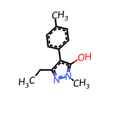 CCc1nn(C)c(O)c1-c1ccc(C)cc1